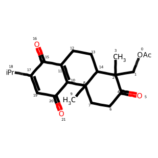 CC(=O)OCC1(C)C(=O)CCC2(C)C3=C(CCC12)C(=O)C(C(C)C)=CC3=O